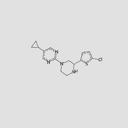 Clc1ccc(C2CN(c3ncc(C4CC4)cn3)CCN2)s1